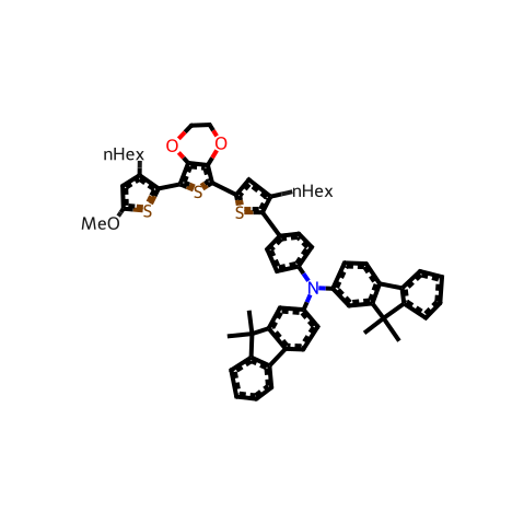 CCCCCCc1cc(-c2sc(-c3sc(OC)cc3CCCCCC)c3c2OCCO3)sc1-c1ccc(N(c2ccc3c(c2)C(C)(C)c2ccccc2-3)c2ccc3c(c2)C(C)(C)c2ccccc2-3)cc1